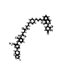 C[C@H]1CC2(CCN(c3cnc(Sc4cccc(NC(=O)CCC(=O)NCCCN5CCN(CCCNc6cccc7cnn(C8CCC(=O)NC8=O)c(=O)c67)CC5)c4Cl)c(N)n3)CC2)CO1